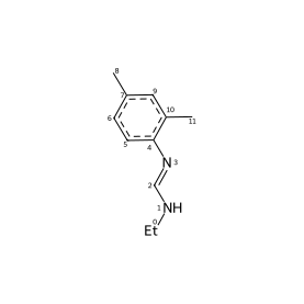 CCNC=Nc1ccc(C)cc1C